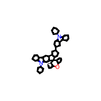 c1ccc(-n2c3ccccc3c3cc(-c4ccc5c(c4)-c4cc6c7ccccc7n(-c7ccccc7)c6cc4C54c5ccccc5Oc5ccccc54)ccc32)cc1